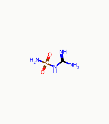 N=C(N)NS(N)(=O)=O